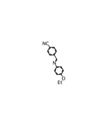 CCOc1ccc(N=Cc2ccc(C#N)cc2)cc1